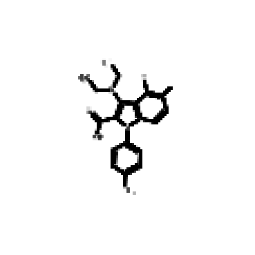 CCN(CC)c1c(C(=O)O)n(-c2ccc(C)cc2)c2ccc(Cl)c(Cl)c12